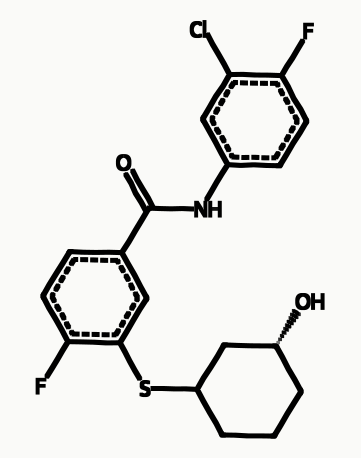 O=C(Nc1ccc(F)c(Cl)c1)c1ccc(F)c(SC2CCC[C@@H](O)C2)c1